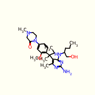 CCCC(CO)Nc1nc(N)nc(C)c1C(C)(CC)c1ccc(N2CCN(C)CC2=O)cc1OC